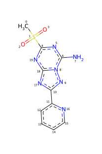 CS(=O)(=O)c1nc(N)n2nc(-c3ccccn3)nc2n1